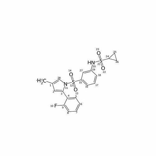 [CH2]c1cc(-c2ccccc2F)n(S(=O)(=O)c2cccc(NS(=O)(=O)C3CC3)c2)c1